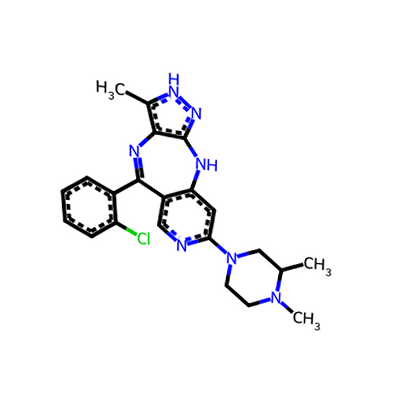 Cc1[nH]nc2c1N=C(c1ccccc1Cl)c1cnc(N3CCN(C)C(C)C3)cc1N2